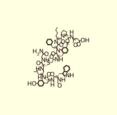 CCCC[C@@H](C(=O)N1CCC[C@@H]1C(=O)N[C@H](C=O)CC(=O)O)N(C)C(=O)[C@H](Cc1ccccc1)N(C)C(=O)[C@H](Cc1ccc(F)cc1)NC(=O)CSC[C@H](NC[C@H](CC(C)C)NC(=O)[C@H](Cc1ccc(O)cc1)NC(=O)[C@H](Cc1c[nH]c2ccccc12)NC=O)C(=O)NCC(N)=O